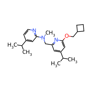 CC(C)c1cc(CN(C)c2cc(C(C)C)ccn2)nc(OCC2CCC2)c1